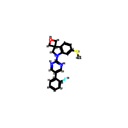 CCSc1ccc2c(c1)N(c1ncc(-c3ccccc3F)cn1)CC21COC1